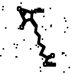 CCCCC1C2=C(O2)C(=O)/C1=C\CCCCCC(=O)OC